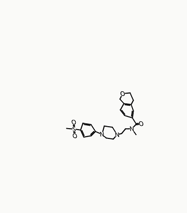 CN(CCN1CCN(c2ccc(S(C)(=O)=O)cc2)CC1)C(=O)c1ccc2c(c1)CCOC2